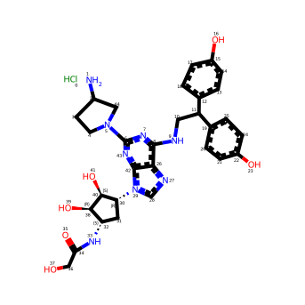 Cl.NC1CCN(c2nc(NCC(c3ccc(O)cc3)c3ccc(O)cc3)c3ncn([C@@H]4C[C@H](NC(=O)CO)[C@@H](O)[C@H]4O)c3n2)C1